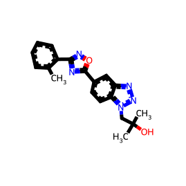 Cc1ccccc1-c1noc(-c2ccc3c(c2)nnn3CC(C)(C)O)n1